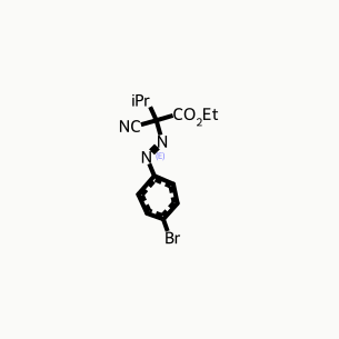 CCOC(=O)C(C#N)(/N=N/c1ccc(Br)cc1)C(C)C